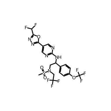 CS(=O)(=O)N(CC(Nc1ncc(-c2nnc(C(F)F)o2)cn1)c1ccc(OC(F)(F)F)cc1)CC(F)(F)F